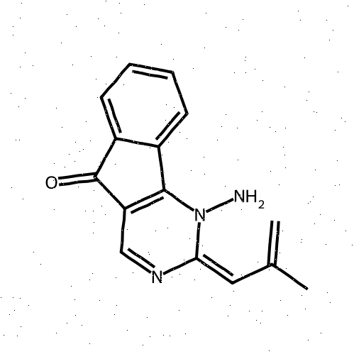 C=C(C)/C=C1/N=CC2=C(c3ccccc3C2=O)N1N